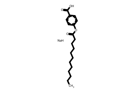 CCCCCCCCCCCC(=O)Oc1ccc(C(=O)O)cc1.[NaH]